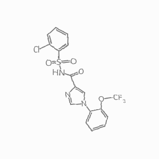 O=C(NS(=O)(=O)c1ccccc1Cl)c1cn(-c2ccccc2OC(F)(F)F)cn1